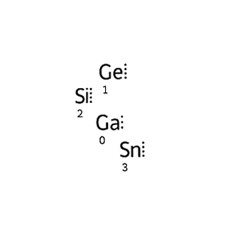 [Ga].[Ge].[Si].[Sn]